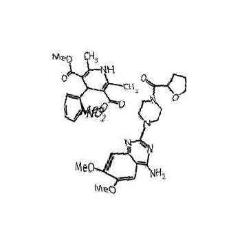 COC(=O)C1=C(C)NC(C)=C(C(=O)OC)C1c1ccccc1[N+](=O)[O-].COc1cc2nc(N3CCN(C(=O)C4CCCO4)CC3)nc(N)c2cc1OC